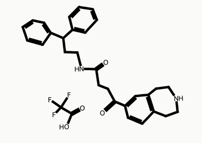 O=C(CCC(=O)c1ccc2c(c1)CCNCC2)NCCC(c1ccccc1)c1ccccc1.O=C(O)C(F)(F)F